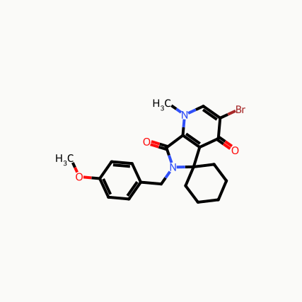 COc1ccc(CN2C(=O)c3c(c(=O)c(Br)cn3C)C23CCCCC3)cc1